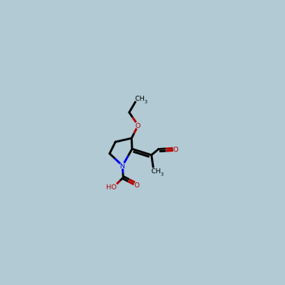 CCOC1CCN(C(=O)O)C1=C(C)C=O